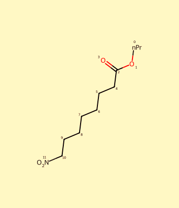 CCCOC(=O)CCCCCCC[N+](=O)[O-]